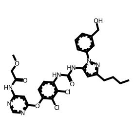 CCCCc1cc(NC(=O)Nc2ccc(Oc3cc(NC(=O)COC)ncn3)c(Cl)c2Cl)n(-c2cccc(CO)c2)n1